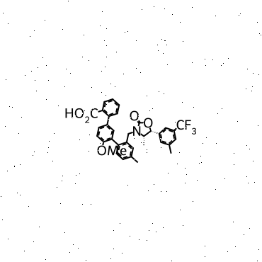 COc1ccc(-c2ccccc2C(=O)O)cc1-c1ccc(C)cc1CN1C(=O)O[C@H](c2cc(C)cc(C(F)(F)F)c2)[C@@H]1C